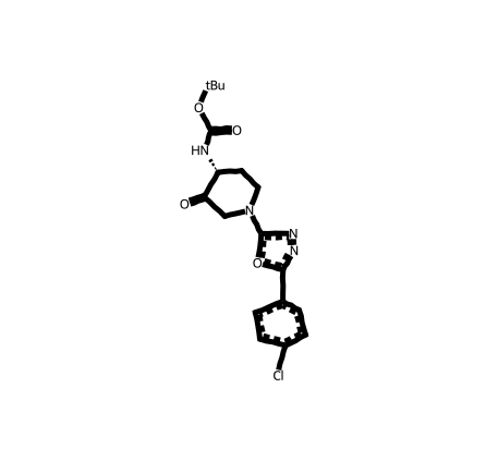 CC(C)(C)OC(=O)N[C@@H]1CCN(c2nnc(-c3ccc(Cl)cc3)o2)CC1=O